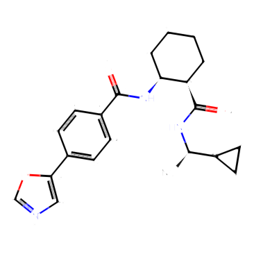 N#C[C@@H](NC(=O)[C@@H]1CCCC[C@@H]1NC(=O)c1ccc(-c2cnco2)cc1)C1CC1